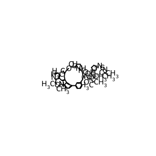 CCn1c(-c2cccnc2C(C)C)c2c3cc(ccc31)-c1cccc(c1)C[C@H](NC(=O)[C@H](C(C)C)N(C)C(=O)[C@H]1CC[C@H](N=C=NC(C)(C)C)C1)C(=O)N1CCC[C@H](N1)C(=O)OCC(C)(C)C2